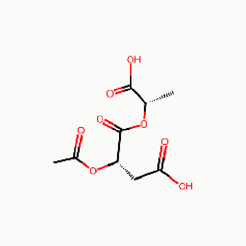 CC(=O)O[C@@H](CC(=O)O)C(=O)O[C@@H](C)C(=O)O